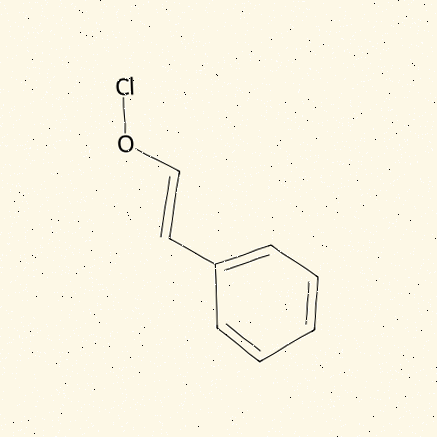 ClOC=Cc1ccccc1